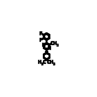 Cc1nc(N2CCC(C)(C)CC2)cnc1-c1cccc(F)c1F